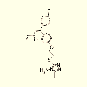 C=CC(=O)C=C(c1ccc(Cl)cc1)c1ccc(OCCSc2nnc(C)n2N)cc1